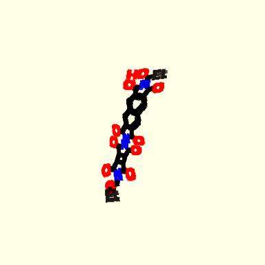 CCOCN1C(=O)C2C(C1=O)C1C(=O)N(n3c(=O)c4cc5cc6c(=O)n(C(O)CC)c(=O)c6cc5cc4c3=O)C(=O)C21